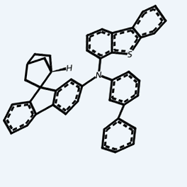 c1ccc(-c2cccc(N(c3ccc4c(c3)C3(CC5CC[C@H]3C5)c3ccccc3-4)c3cccc4c3sc3ccccc34)c2)cc1